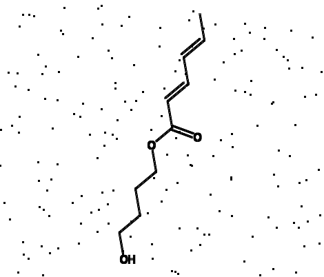 CC=CC=CC(=O)OCCCCO